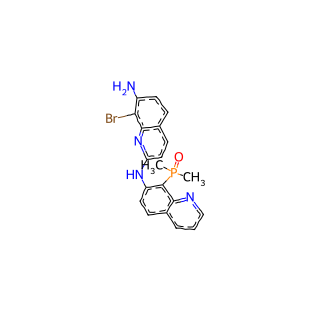 CP(C)(=O)c1c(Nc2ccc3ccc(N)c(Br)c3n2)ccc2cccnc12